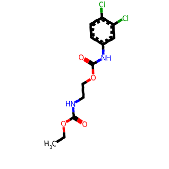 CCOC(=O)NCCOC(=O)Nc1ccc(Cl)c(Cl)c1